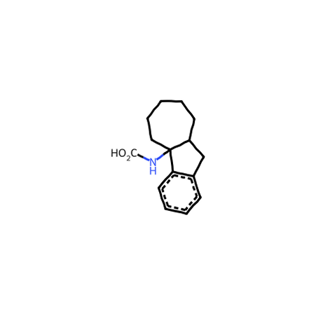 O=C(O)NC12CCCCCC1Cc1ccccc12